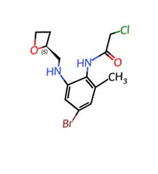 Cc1cc(Br)cc(NC[C@@H]2CCO2)c1NC(=O)CCl